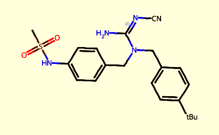 CC(C)(C)c1ccc(CN(Cc2ccc(NS(C)(=O)=O)cc2)/C(N)=N\C#N)cc1